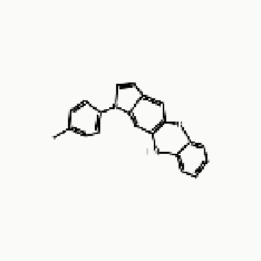 Cc1ccc(-n2ccc3cc4c(cc32)Nc2ccccc2O4)cc1